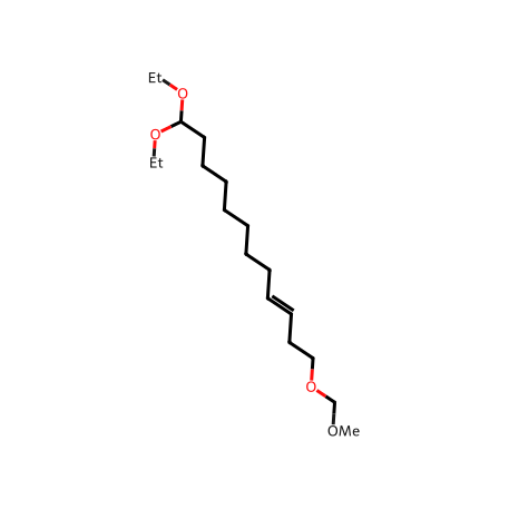 CCOC(CCCCCCCC=CCCOCOC)OCC